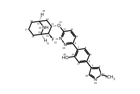 Cn1cc(-c2ccc(-c3ccc(O[C@H]4C[C@@H]5CCC[C@@H](N5)[C@@H]4F)nn3)c(O)c2)cn1